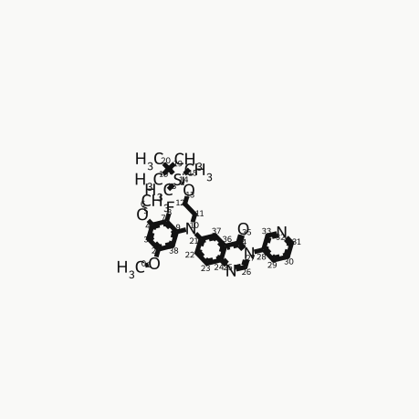 COc1cc(OC)c(F)c(N(CCO[Si](C)(C)C(C)(C)C)c2ccc3ncn(-c4cccnc4)c(=O)c3c2)c1